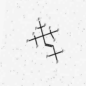 FC(F)(F)C=CC(C(F)(F)F)(C(F)(F)F)C(F)(F)F